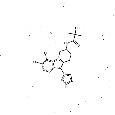 CC(C)(O)C(=O)NC1CCc2c(-c3cn[nH]c3)c3ccc(Cl)c(Cl)c3n2C1